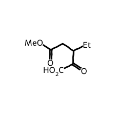 CCC(CC(=O)OC)C(=O)C(=O)O